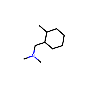 CC1CCCCC1CN(C)C